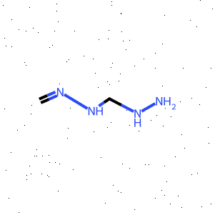 C=NNCNN